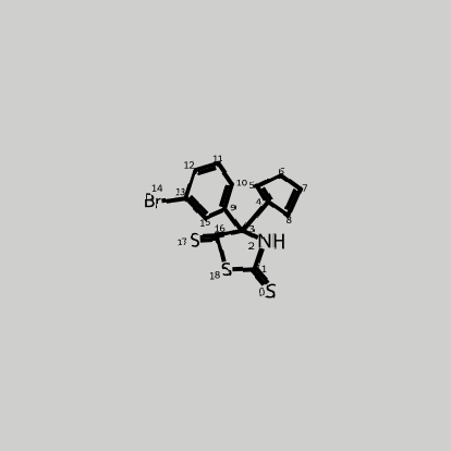 S=C1NC(C2=CCC=C2)(c2cccc(Br)c2)C(=S)S1